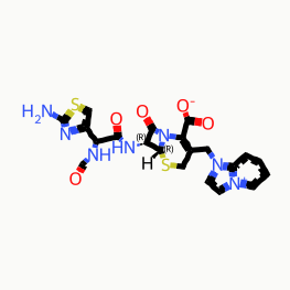 Nc1nc(C(NC=O)C(=O)N[C@@H]2C(=O)N3C(C(=O)[O-])=C(Cn4cc[n+]5ccccc45)CS[C@H]23)cs1